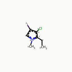 CCc1c(Cl)c(I)cn1C